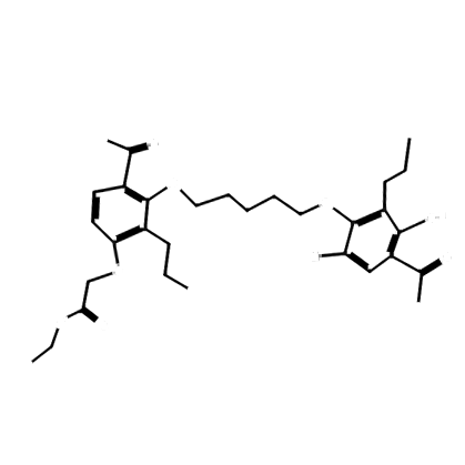 CCCc1c(O)c(C(C)=O)cc(Cl)c1OCCCCCOc1c(C(C)=O)ccc(OCC(=O)OCC)c1CCC